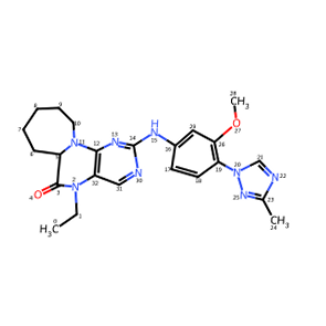 CCN1C(=O)C2CCCCCN2c2nc(Nc3ccc(-n4cnc(C)n4)c(OC)c3)ncc21